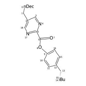 CCCCCCCCCCCc1cnc(C(=O)Oc2ccc(C[C@@H](C)CC)cc2)nc1